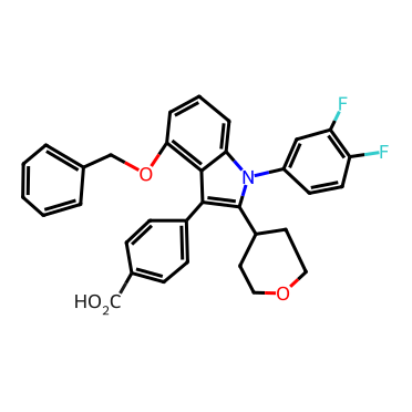 O=C(O)c1ccc(-c2c(C3CCOCC3)n(-c3ccc(F)c(F)c3)c3cccc(OCc4ccccc4)c23)cc1